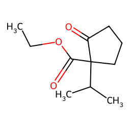 CCOC(=O)C1(C(C)C)CCCC1=O